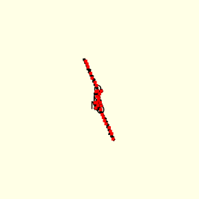 CCCCCCCCCCCCCCCCCCCCOc1cc(C)c(N=C(C)c2cccc(C(C)=Nc3cc(C(C)C)c(OCCCCCCCCCCCCCCCCCCCC)cc3C)n2)cc1C(C)C